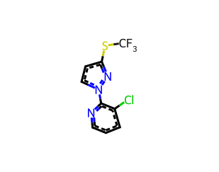 FC(F)(F)Sc1ccn(-c2ncccc2Cl)n1